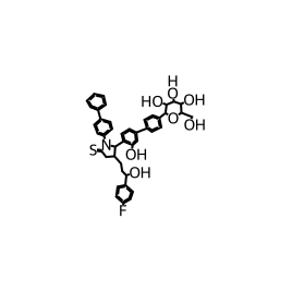 OCC1OC(c2ccc(-c3ccc(C4C(CCC(O)c5ccc(F)cc5)CC(=S)N4c4ccc(-c5ccccc5)cc4)c(O)c3)cc2)C(O)C(O)C1O